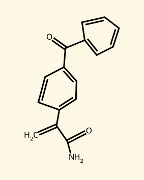 C=C(C(N)=O)c1ccc(C(=O)c2ccccc2)cc1